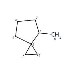 CC1CCCC12[CH]C2